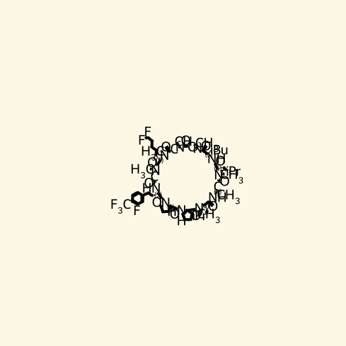 CCC(C)[C@@H]1NC(=O)[C@H](CC(C)C)N(C)C(=O)C[C@@H](C)NC(=O)[C@H](CC(C)C)N(C)C(=O)C2(CCCC2)NC(=O)[C@@H]2CCCN2C(=O)[C@H](CCc2ccc(C(F)(F)F)c(F)c2)NC(=O)CN(C)C(=O)[C@H](CCCCC(F)F)N(C)C(=O)CN(C)C(=O)CN(C)C1=O